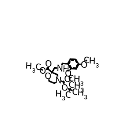 COC(=O)C1(CNCc2ccc(OC)cc2OC)CN(C(=O)OC(C)(C)C)CCO1